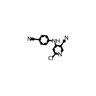 N#Cc1ccc(Nc2cc(Cl)ncc2C#N)cc1